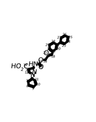 O=C(Nc1nn(-c2ccccc2)cc1C(=O)O)OCc1cc2cc(-c3ccccc3)ccc2o1